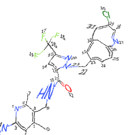 Cc1cc(N)nc(C)c1CNC(=O)c1cc(C(F)(F)F)nn1Cc1ccc2ncc(Cl)cc2c1